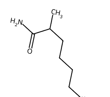 CC(CCCCC(C)(C)C)C(N)=O